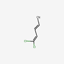 N#CC=CC=C(Cl)Cl